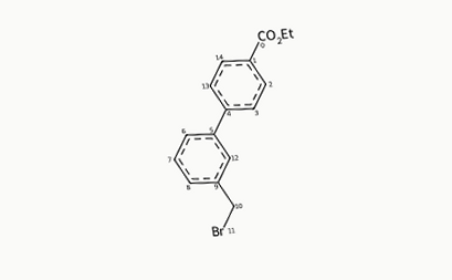 CCOC(=O)c1ccc(-c2cccc(CBr)c2)cc1